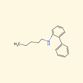 CCCCCNc1ccccc1-c1ccccc1